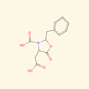 O=C(O)CC1C(=O)OC(Cc2ccccc2)N1C(=O)O